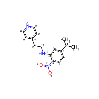 CC(C)c1ccc([N+](=O)[O-])c(NCCc2ccncc2)c1